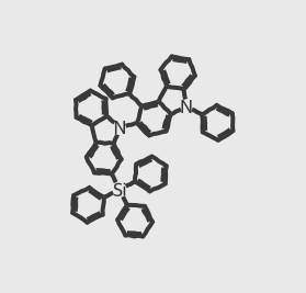 c1ccc(-c2c(-n3c4ccccc4c4ccc([Si](c5ccccc5)(c5ccccc5)c5ccccc5)cc43)ccc3c2c2ccccc2n3-c2ccccc2)cc1